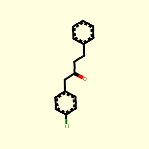 O=C(CCc1ccccc1)Cc1ccc(Cl)cc1